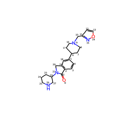 O=C1c2ccc(C3CCN(Cc4ccon4)CC3)cc2CN1C1CCCNC1